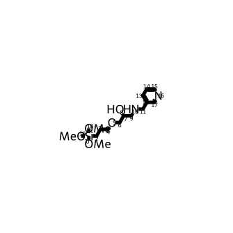 CO[Si](CCCOCC(O)CNCc1cccnc1)(OC)OC